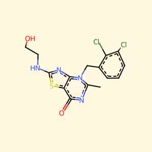 Cc1nc(=O)c2sc(NCCO)nc2n1Cc1cccc(Cl)c1Cl